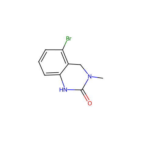 CN1Cc2c(Br)cccc2NC1=O